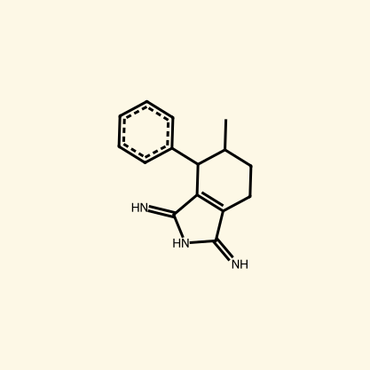 CC1CCC2=C(C(=N)NC2=N)C1c1ccccc1